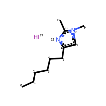 CCCCCCc1cn(C)c(C)n1.I